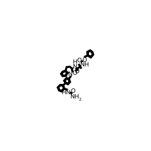 CC(C)(NC(=O)OCc1ccccc1)C(=O)N[C@@H]1CCc2ccccc2N(Cc2ccc(-c3ccccc3CNC(N)=O)cc2)C1=O